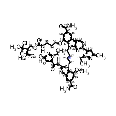 CCn1nc(C)cc1C(=O)Nc1nc2cc(C(N)=O)cc(OC)c2n1C/C=C/Cn1c2nc(-c3cc(C)nn3CC)ncc2c2cc(C(N)=O)cc(OCCCNC(=O)OCC(C(=O)O)C(C)(C)C)c21